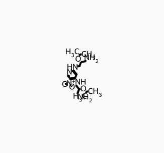 CC(C)OC(CN)CNc1cc(NCC(CN)OC(C)C)c([N+](=O)[O-])cn1